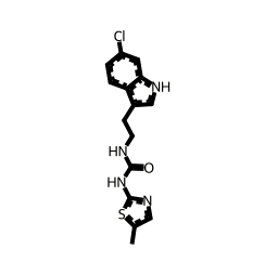 Cc1cnc(NC(=O)NCCc2c[nH]c3cc(Cl)ccc23)s1